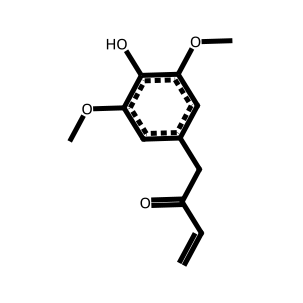 C=CC(=O)Cc1cc(OC)c(O)c(OC)c1